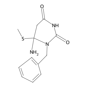 CSC1(N)CC(=O)NC(=O)N1Cc1ccccc1